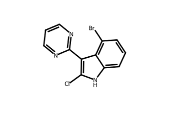 Clc1[nH]c2cccc(Br)c2c1-c1ncccn1